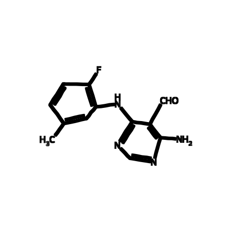 Cc1ccc(F)c(Nc2ncnc(N)c2C=O)c1